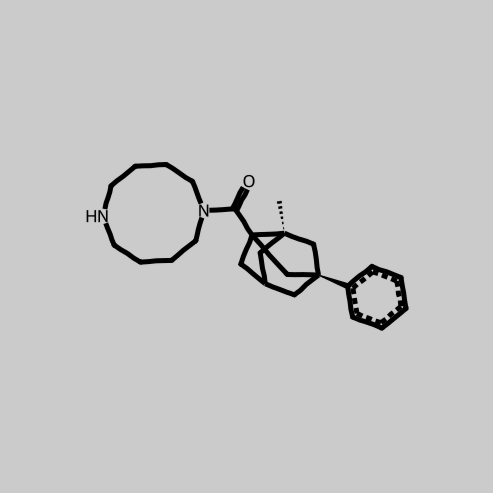 C[C@]12CC3CC1(C(=O)N1CCCCNCCCC1)C[C@@](c1ccccc1)(C3)C2